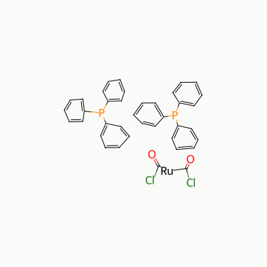 O=[C](Cl)[Ru][C](=O)Cl.c1ccc(P(c2ccccc2)c2ccccc2)cc1.c1ccc(P(c2ccccc2)c2ccccc2)cc1